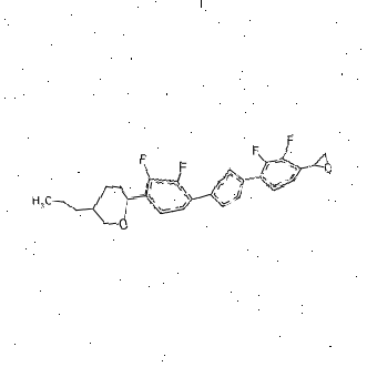 CCCC1CCC(c2ccc(-c3ccc(-c4ccc(C5CO5)c(F)c4F)cc3)c(F)c2F)OC1